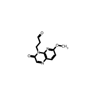 COc1ccc2ncc(=O)n(CCC=O)c2n1